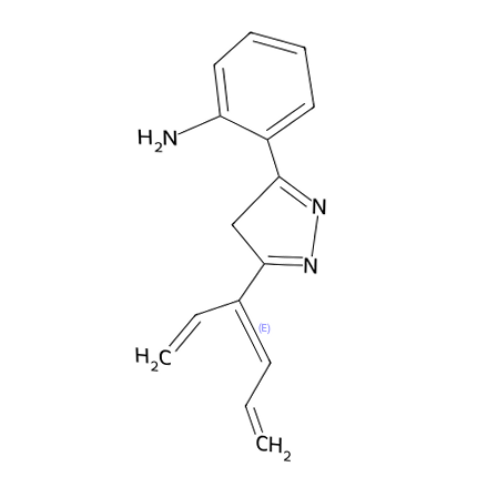 C=C/C=C(\C=C)C1=NN=C(c2ccccc2N)C1